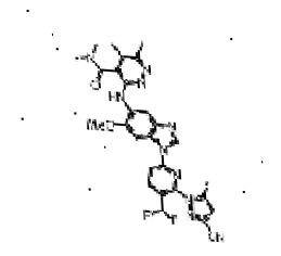 COc1cc2c(cc1Nc1nnc(C)c(C)c1C(=O)N(C)C)ncn2-c1ccc(C(F)F)c(-n2nc(C#N)cc2C)n1